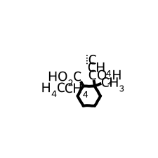 C.C.C.CC1(C(=O)O)CCCCC1C(=O)O.[C]